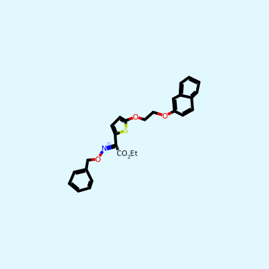 CCOC(=O)/C(=N\OCc1ccccc1)c1ccc(OCCOc2ccc3ccccc3c2)s1